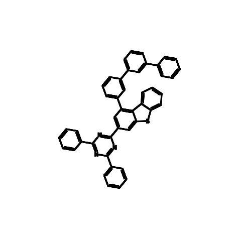 c1ccc(-c2cccc(-c3cccc(-c4cc(-c5nc(-c6ccccc6)nc(-c6ccccc6)n5)cc5sc6ccccc6c45)c3)c2)cc1